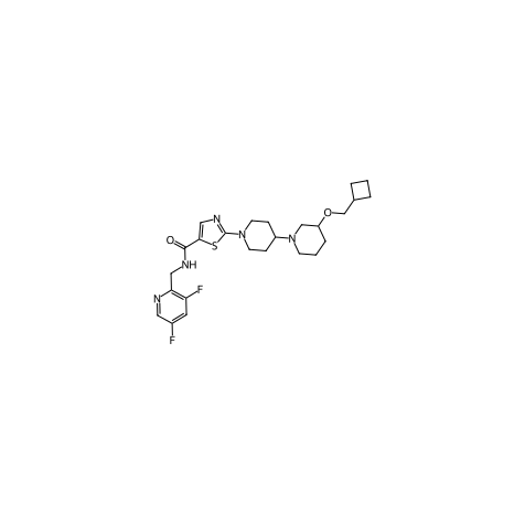 O=C(NCc1ncc(F)cc1F)c1cnc(N2CCC(N3CCCC(OCC4CCC4)C3)CC2)s1